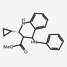 COC(=O)C1C(Nc2ccccc2)c2ccccc2N[C@H]1C1CC1